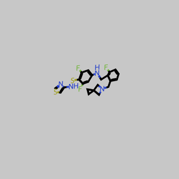 Fc1cccc(CN2CC3(CC3)C2)c1CNc1cc(F)c(SNc2cscn2)c(F)c1